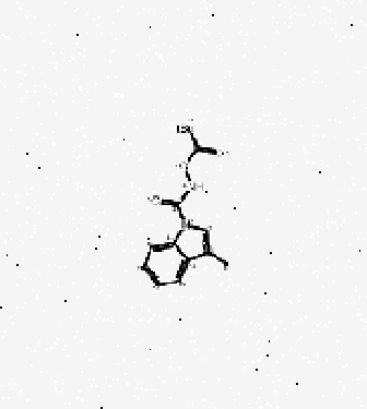 Cc1cn(C(=O)NOC(=O)C(C)(C)C)c2ccccc12